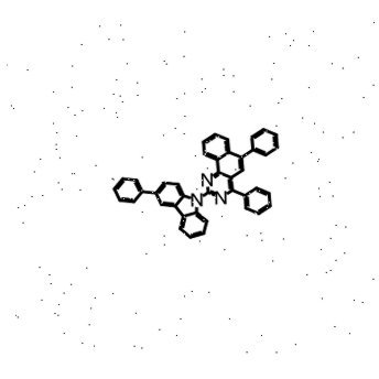 c1ccc(-c2ccc3c(c2)c2ccccc2n3-c2nc(-c3ccccc3)c3cc(-c4ccccc4)c4ccccc4c3n2)cc1